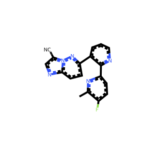 Cc1nc(-c2ncccc2-c2ccc3ncc(C#N)n3n2)ccc1F